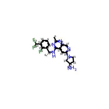 Cc1nc(N[C@H](C)c2cccc(C(F)F)c2F)c2cc(N3CC[C@@H](N)C3)ncc2n1